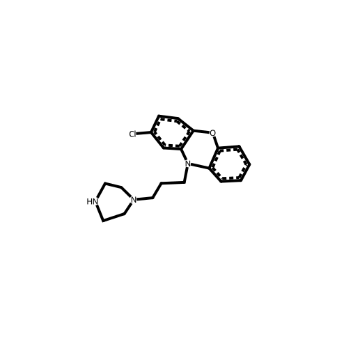 Clc1ccc2c(c1)N(CCCN1CCNCC1)c1ccccc1O2